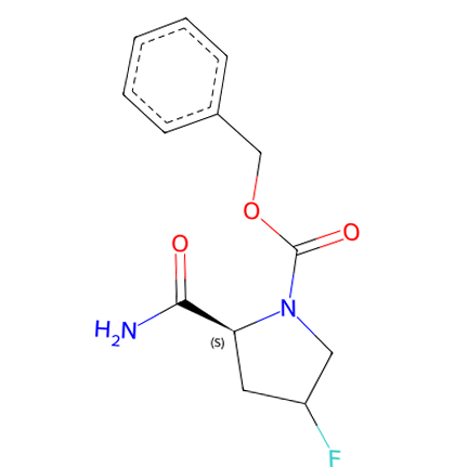 NC(=O)[C@@H]1CC(F)CN1C(=O)OCc1ccccc1